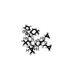 CC1(C)CCC(NC(=O)N[C@H](C(=O)N2C[C@H]3[C@@H]([C@H]2C(=O)N[C@@H](CCC2CC2)C(=O)C(=O)NC2CC2)C3(C)C)C(C)(C)C)([C@H]2CCCS2(=O)=O)CC1